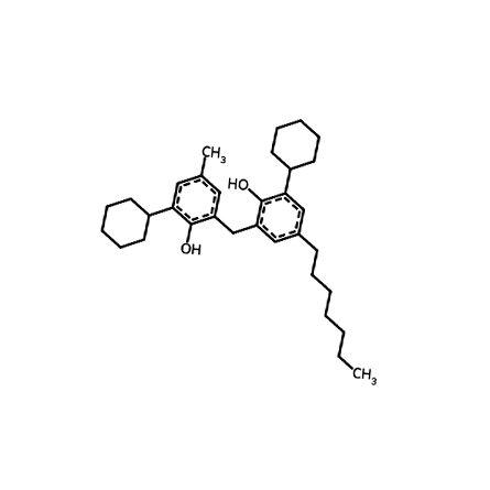 CCCCCCCc1cc(Cc2cc(C)cc(C3CCCCC3)c2O)c(O)c(C2CCCCC2)c1